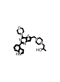 CC(O)CN1CCN(Cc2cc3nc(-c4cccc5[nH]ccc45)nc(N4CCOCC4)c3s2)CC1